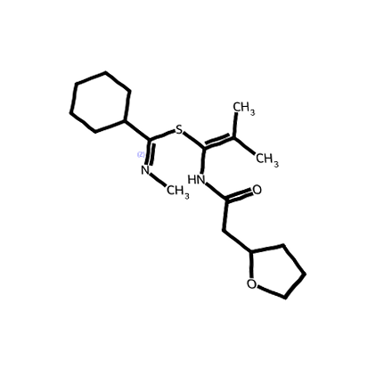 C/N=C(\SC(NC(=O)CC1CCCO1)=C(C)C)C1CCCCC1